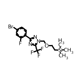 C[Si](C)(C)CCOCn1nc(-c2ccc(Br)cc2F)nc1C(F)(F)F